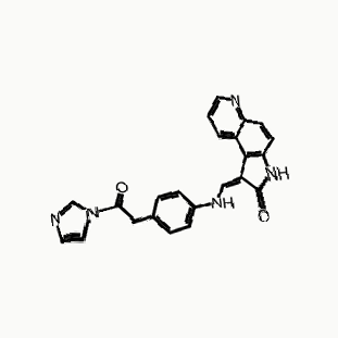 O=C1Nc2ccc3ncccc3c2C1=CNc1ccc(CC(=O)n2ccnc2)cc1